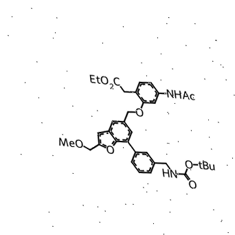 CCOC(=O)Cc1ccc(NC(C)=O)cc1OCc1cc(-c2cccc(CNC(=O)OC(C)(C)C)c2)c2oc(COC)cc2c1